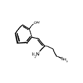 NCCC(N)=Cc1ccccc1O